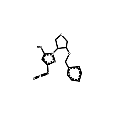 CC(C)(C)c1cc(N=C=S)nn1C1COCC1OCc1ccccc1